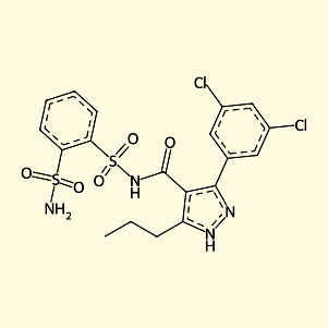 CCCc1[nH]nc(-c2cc(Cl)cc(Cl)c2)c1C(=O)NS(=O)(=O)c1ccccc1S(N)(=O)=O